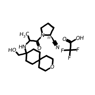 CC(NC1(CO)CCC2(CCOCC2)CC1)C(=O)N1CCC[C@H]1C#N.O=C(O)C(F)(F)F